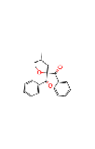 COC(CC(C)C)(C(=O)c1ccccc1)C(=O)c1ccccc1